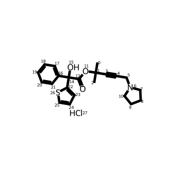 CC(C)(C#CCN1CCCC1)OC(=O)C(O)(c1ccccc1)c1cccs1.Cl